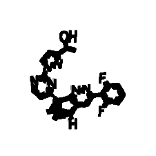 CC(O)c1ccn(-c2nccc([C@]34CC[C@@H](c5cc(-c6c(F)cccc6F)nnc53)C4(C)C)n2)n1